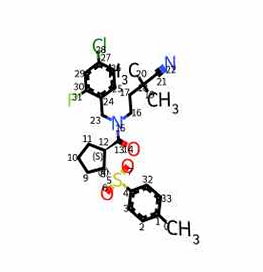 Cc1ccc(S(=O)(=O)[C@@H]2CCC[C@H]2C(=O)N(CCC(C)(C)C#N)Cc2ccc(Cl)cc2F)cc1